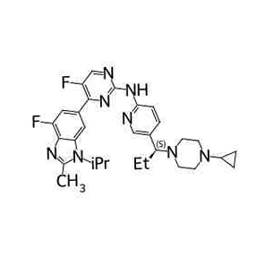 CC[C@@H](c1ccc(Nc2ncc(F)c(-c3cc(F)c4nc(C)n(C(C)C)c4c3)n2)nc1)N1CCN(C2CC2)CC1